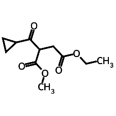 CCOC(=O)CC(C(=O)OC)C(=O)C1CC1